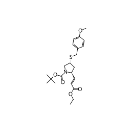 CCOC(=O)C=C[C@@H]1C[C@@H](SCc2ccc(OC)cc2)CN1C(=O)OC(C)(C)C